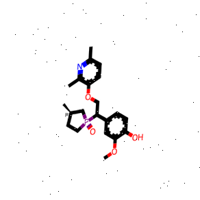 COc1cc(C(COc2ccc(C)nc2C)P2(=O)CC[C@@H](C)C2)ccc1O